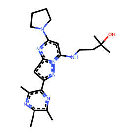 Cc1nc(C)c(-c2cc3nc(N4CCCC4)cc(NCCC(C)(C)O)n3n2)nc1C